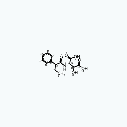 CCC(C(=O)N[C@H](C(=O)O)C(O)C(=O)O)c1ccccc1